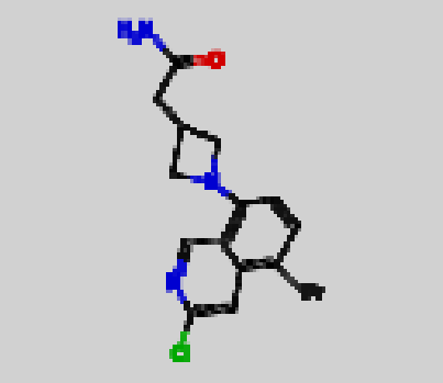 CC(C)c1ccc(N2CC(CC(N)=O)C2)c2cnc(Cl)cc12